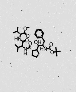 COC(=O)C(NC(=O)[C@@H](NC(=O)[C@H]1CCCC1C(O)C(Cc1ccccc1)NC(=O)OC(C)(C)C)C(C)C)C(C)C